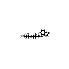 FC(F)(F)C(F)(F)C(F)(F)C(F)(F)C(F)(F)C(F)(F)C(F)(F)C(F)(F)Nc1cccc2[nH]cnc12